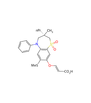 CCC[C@@]1(C)CN(c2ccccc2)c2cc(SC)c(O/C=C/C(=O)O)cc2S(=O)(=O)C1